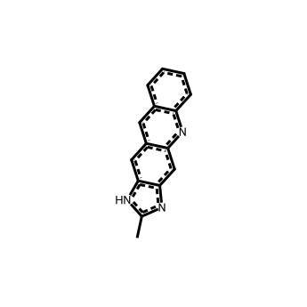 Cc1nc2cc3nc4ccccc4cc3cc2[nH]1